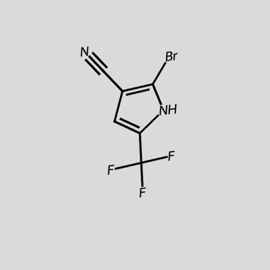 N#Cc1cc(C(F)(F)F)[nH]c1Br